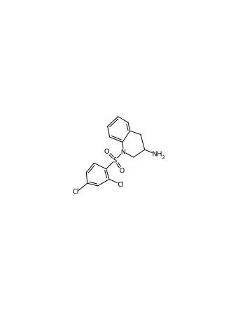 NC1Cc2ccccc2N(S(=O)(=O)c2ccc(Cl)cc2Cl)C1